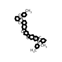 Cc1ccc(N(c2ccc3cc4c(cc3c2)oc2cc3oc5cc6cc(N(c7ccc(C)cc7)c7c(C)cccc7C)ccc6cc5c3cc24)c2c(C)cccc2C)cc1